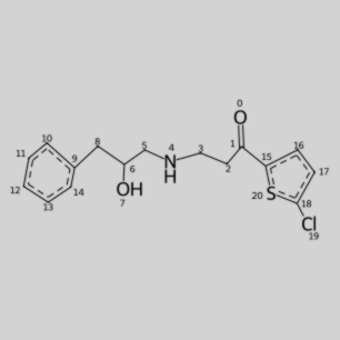 O=C(CCNCC(O)Cc1ccccc1)c1ccc(Cl)s1